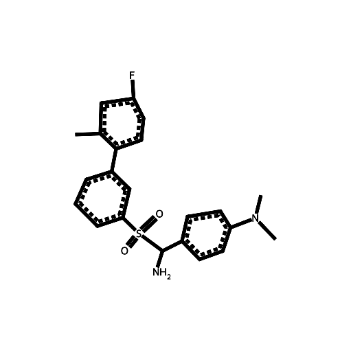 Cc1cc(F)ccc1-c1cccc(S(=O)(=O)C(N)c2ccc(N(C)C)cc2)c1